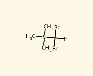 C[Si](C)(C)C(F)(Br)Br